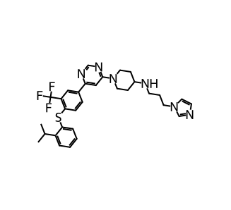 CC(C)c1ccccc1Sc1ccc(-c2cc(N3CCC(NCCCn4ccnc4)CC3)ncn2)cc1C(F)(F)F